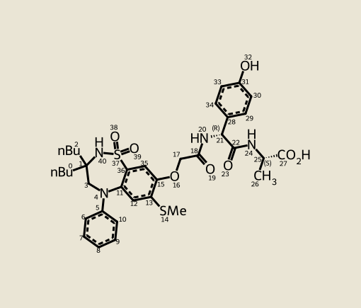 CCCCC1(CCCC)CN(c2ccccc2)c2cc(SC)c(OCC(=O)N[C@@H](C(=O)N[C@@H](C)C(=O)O)c3ccc(O)cc3)cc2S(=O)(=O)N1